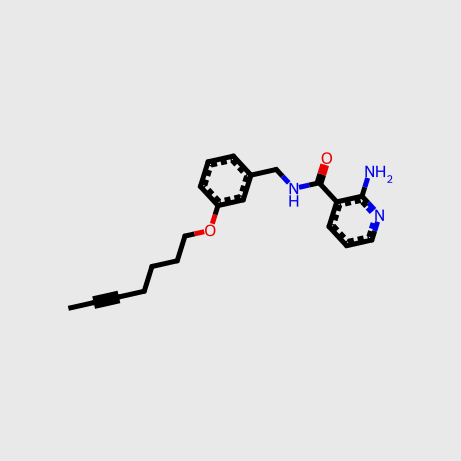 CC#CCCCCOc1cccc(CNC(=O)c2cccnc2N)c1